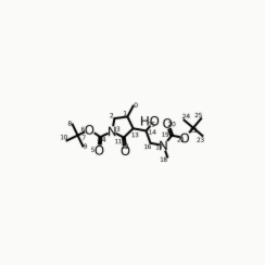 CC1CN(C(=O)OC(C)(C)C)C(=O)C1C(O)CN(C)C(=O)OC(C)(C)C